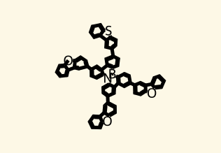 c1ccc2c(c1)oc1ccc(-c3ccc4c(c3)-c3cc(-c5ccc6oc7ccccc7c6c5)ccc3N3B4c4ccc(-c5ccc6sc7ccccc7c6c5)cc4-c4cc(-c5ccc6oc7ccccc7c6c5)ccc43)cc12